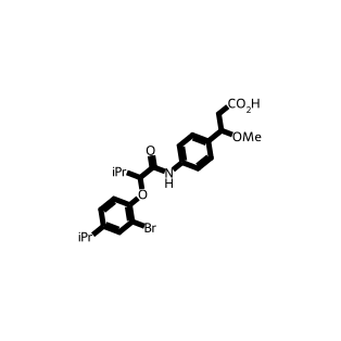 COC(CC(=O)O)c1ccc(NC(=O)C(Oc2ccc(C(C)C)cc2Br)C(C)C)cc1